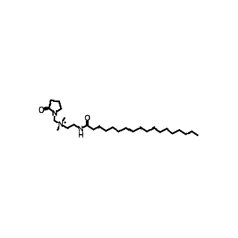 CCCCCCCCCCCCCCCCCC(=O)NCC[N+](C)(C)CN1CCCC1=O